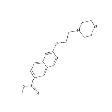 COC(=O)c1ccc2cc(OCCN3CCOCC3)ccc2c1